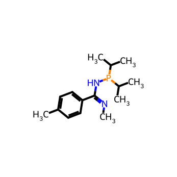 CN=C(NP(C(C)C)C(C)C)c1ccc(C)cc1